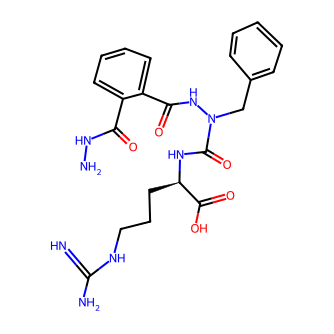 N=C(N)NCCC[C@@H](NC(=O)N(Cc1ccccc1)NC(=O)c1ccccc1C(=O)NN)C(=O)O